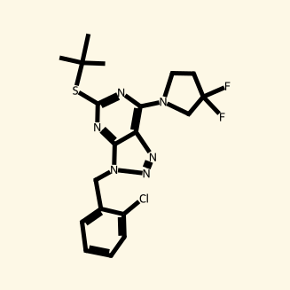 CC(C)(C)Sc1nc(N2CCC(F)(F)C2)c2nnn(Cc3ccccc3Cl)c2n1